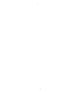 CCCC1CCC(c2ccc(C3OCC(F)(CCC)CO3)cc2F)=CO1